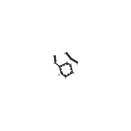 C=C=C.C=Cc1ccccc1